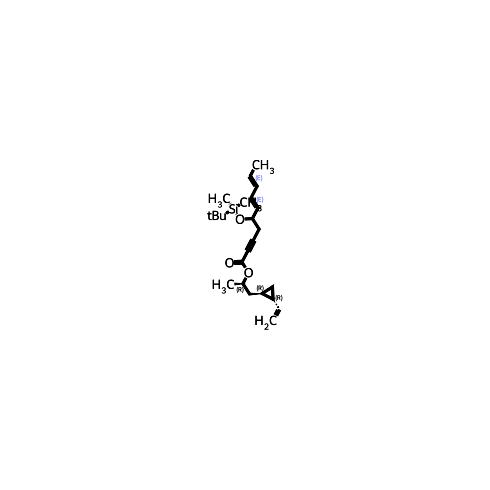 C=C[C@H]1C[C@@H]1C[C@@H](C)OC(=O)C#CCC(/C=C/C=C/C)O[Si](C)(C)C(C)(C)C